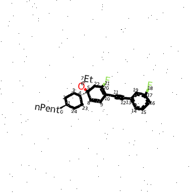 CCCCC[C@H]1CC[C@H](C2(OCC)C=CC(C#Cc3cccc(F)c3)=C(F)C2)CC1